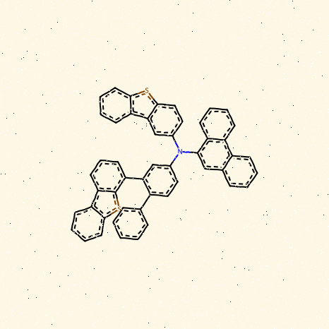 c1ccc(-c2ccc(N(c3ccc4sc5ccccc5c4c3)c3cc4ccccc4c4ccccc34)cc2-c2cccc3c2sc2ccccc23)cc1